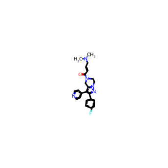 CN(C)C/C=C/C(=O)N1CCn2nc(-c3ccc(F)cc3)c(-c3ccncc3)c2C1